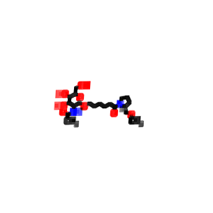 COC[C@@H]1CCCN1C(=O)CCCCCOC1OC(CO)C(O)C(O)C1NC(C)=O